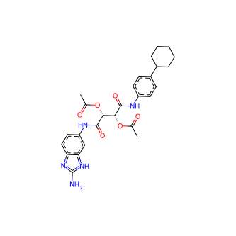 CC(=O)O[C@@H](C(=O)Nc1ccc(C2CCCCC2)cc1)[C@@H](OC(C)=O)C(=O)Nc1ccc2nc(N)[nH]c2c1